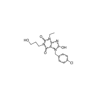 CCn1c(=O)n(CCCO)c(=O)c2c1nc(O)n2Cc1ccc(Cl)cc1